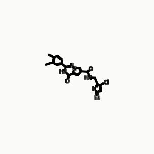 CCn1cc(Cl)c(CNC(=O)c2cc3c(=O)[nH]c(-c4ccc(C)c(C)c4)nn3c2)n1